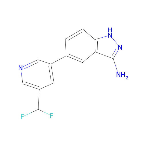 Nc1n[nH]c2ccc(-c3cncc(C(F)F)c3)cc12